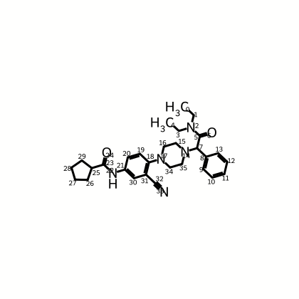 CCN(CC)C(=O)C(c1ccccc1)N1CCN(c2ccc(NC(=O)C3CCCC3)cc2C#N)CC1